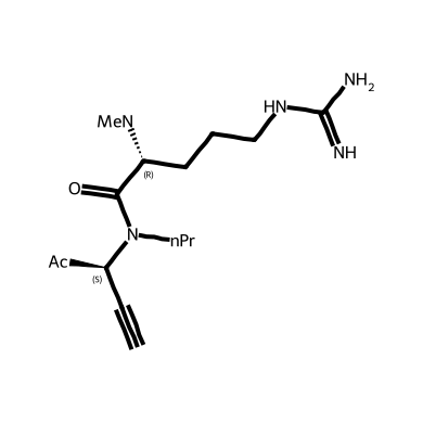 C#C[C@@H](C(C)=O)N(CCC)C(=O)[C@@H](CCCNC(=N)N)NC